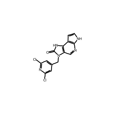 O=c1[nH]c2c3cc[nH]c3ncc2n1Cc1cc(Cl)nc(Cl)c1